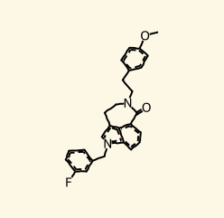 COc1ccc(CCN2CCc3cn(Cc4cccc(F)c4)c4cccc(c34)C2=O)cc1